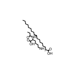 CCC(=O)NC(CCCCN)C(=O)O.CCCCCCCCC=CCCCCCCCC(=O)O